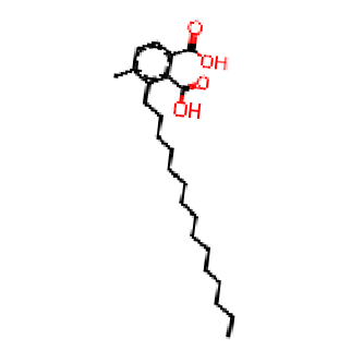 CCCCCCCCCCCCCCCc1c(C)ccc(C(=O)O)c1C(=O)O